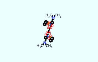 CCCN(CCC)CCc1ccc2c(c1)N(S(=O)(=O)c1cccc3ccccc13)CC(OC(=O)CCC(=O)OC1CN(S(=O)(=O)c3cccc4ccccc34)c3cc(CCN(CCC)CCC)ccc3O1)O2